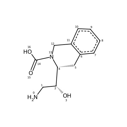 NC[C@@H](O)[C@H]1Cc2ccccc2CN1C(=O)O